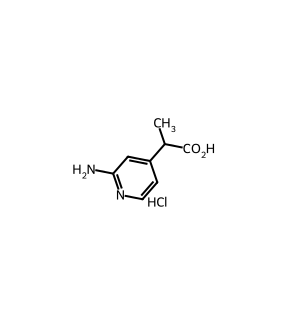 CC(C(=O)O)c1ccnc(N)c1.Cl